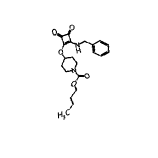 CCCCOC(=O)N1CCC(Oc2c(NCc3ccccc3)c(=O)c2=O)CC1